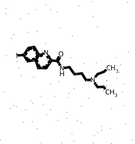 CCCN(CCC)CCCCNC(=O)c1ccc2cc(I)ccc2n1